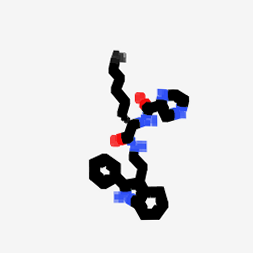 CC(=O)CCCCC[C@H](NC(=O)c1cnccn1)C(=O)NCCc1c(-c2ccccc2)[nH]c2ccccc12